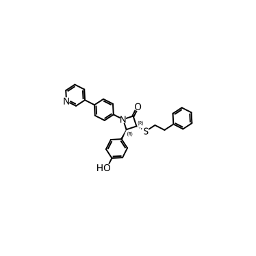 O=C1[C@H](SCCc2ccccc2)[C@@H](c2ccc(O)cc2)N1c1ccc(-c2cccnc2)cc1